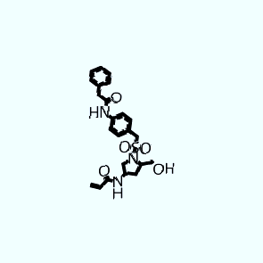 C=CC(=O)NC1CC(CO)N(S(=O)(=O)Cc2ccc(NC(=O)Cc3ccccc3)cc2)C1